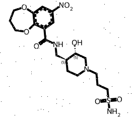 NS(=O)(=O)CCCN1CC[C@@H](CNC(=O)c2cc([N+](=O)[O-])cc3c2OCCCO3)[C@H](O)C1